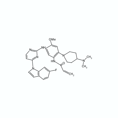 C=CC(=O)Nc1cc(Nc2nccc(-n3ccc4ccc(F)cc43)n2)c(OC)cc1N1CCC(N(C)C)CC1